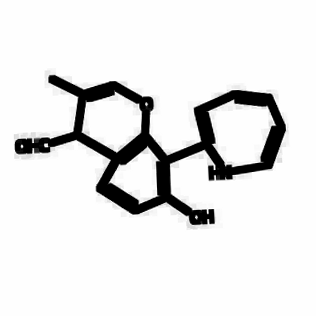 CC1=COc2c(ccc(O)c2C2=CC=CC=CN2)C1C=O